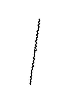 CCCCCCCCCCCCCCCCCCCCCCOCCCCCCCCCCCCCCCCCCC